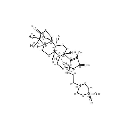 CC(C)C1=C2[C@H]3CC[C@@H]4[C@@]5(C)CCC(=O)C(C)(C)[C@@H]5CC[C@@]4(C)[C@]3(C)CC[C@@]2(NCCN2CCS(=O)(=O)CC2)CC1=O